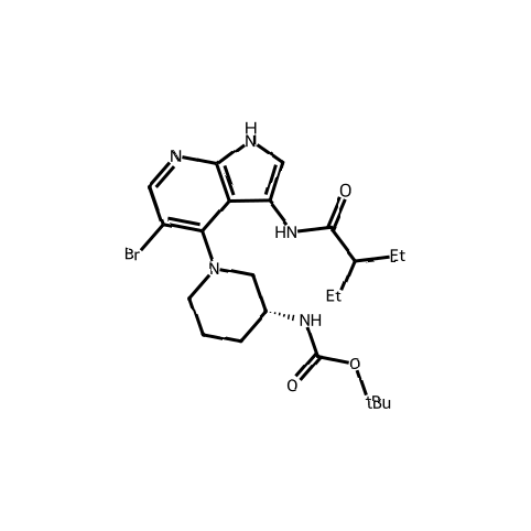 CCC(CC)C(=O)Nc1c[nH]c2ncc(Br)c(N3CCC[C@@H](NC(=O)OC(C)(C)C)C3)c12